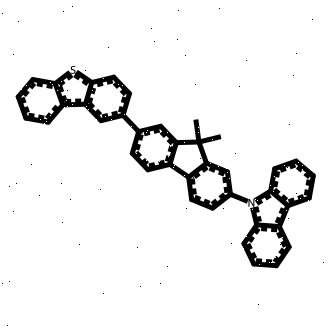 CC1(C)c2cc(-c3ccc4sc5ccccc5c4c3)ccc2-c2ccc(-n3c4ccccc4c4ccccc43)cc21